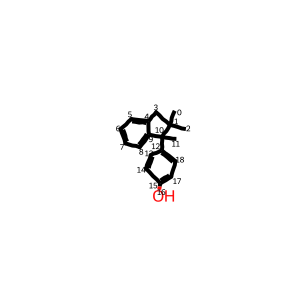 CC1(C)Cc2ccccc2C1(C)c1ccc(O)cc1